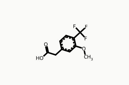 COc1cc(CC(=O)O)ccc1C(F)(F)F